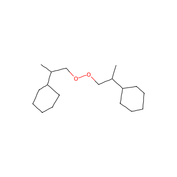 CC(COOCC(C)C1CCCCC1)C1CCCCC1